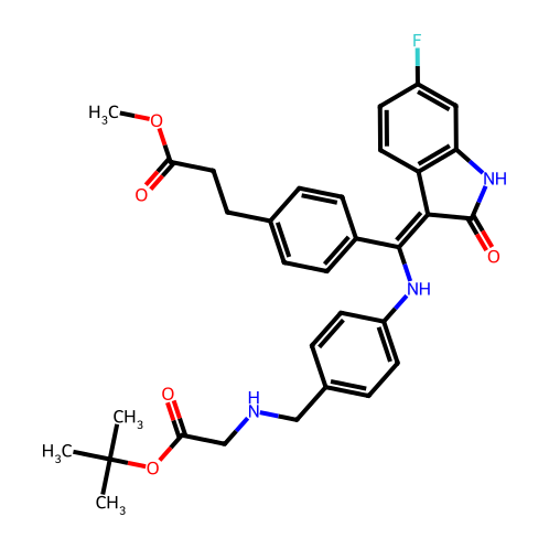 COC(=O)CCc1ccc(/C(Nc2ccc(CNCC(=O)OC(C)(C)C)cc2)=C2/C(=O)Nc3cc(F)ccc32)cc1